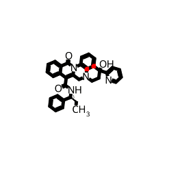 CC[C@H](NC(=O)c1c(CN2CCC(O)(c3ccccn3)CC2)n(-c2ccccc2)c(=O)c2ccccc12)c1ccccc1